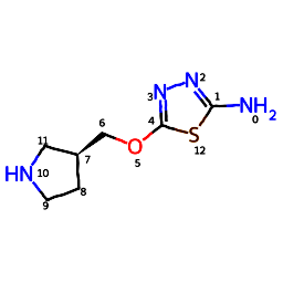 Nc1nnc(OC[C@H]2CCNC2)s1